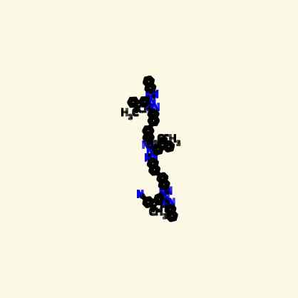 CC(C)c1ccccc1-c1cc2c3c(c1)n1c4cc5cc(-c6ccc7cc8nc9n(c8cc7c6)c6cc(-c7ccccc7C(C)(C)C)cc7c6n9c6nc8cc9ccc(-c%10ccc%11cc%12nc%13n(c%12cc%11c%10)c%10cc(-c%11cc(C#N)ccc%11C(C)C)cc%11c%10n%13c%10nc%12cc%13ccccc%13cc%12n%11%10)cc9cc8n76)ccc5cc4nc1n3c1nc3cc4ccccc4cc3n21